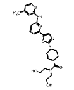 Cc1ccnc(Nc2cccc(-c3cnc([C@H]4CC[C@H](C(=O)N(CCO)CCO)CC4)s3)n2)c1